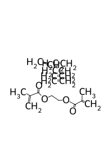 C=C.C=C.C=C.C=C.C=C.C=C(C)C(=O)OCCOC(=O)C(=C)C